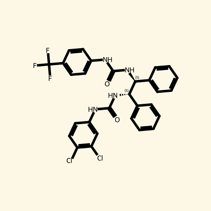 O=C(Nc1ccc(C(F)(F)F)cc1)N[C@@H](c1ccccc1)[C@@H](NC(=O)Nc1ccc(Cl)c(Cl)c1)c1ccccc1